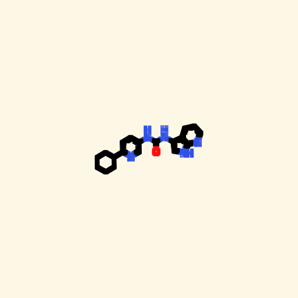 O=C(Nc1ccc(C2CCCCC2)nc1)Nc1c[nH]c2ncccc12